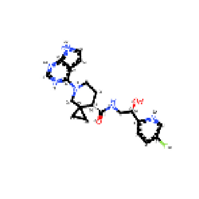 O=C(NC[C@@H](O)c1ccc(F)cn1)[C@H]1CCN(c2ncnc3[nH]ccc23)CC12CC2